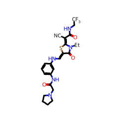 CCn1c(=C(C#N)C(=O)NCC(F)(F)F)sc(=CNc2cccc(NC(=O)CN3CCCC3)c2)c1=O